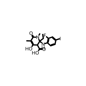 CCC1(Nc2ccc(I)cc2F)C(C(=O)O)C(O)=C(C)C(=O)N1C